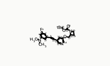 CN(C)c1cc(F)cc(C#Cc2cncc(OCC3CCN3C(=O)OC(C)(C)C)c2)c1